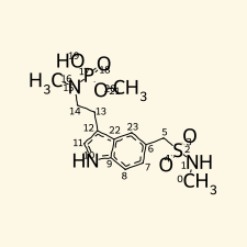 CNS(=O)(=O)Cc1ccc2[nH]cc(CCN(C)P(=O)(O)OC)c2c1